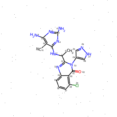 CC(Nc1nc(N)nc(N)c1C#N)c1nc2cccc(Cl)c2c(=O)n1-c1cn[nH]c1